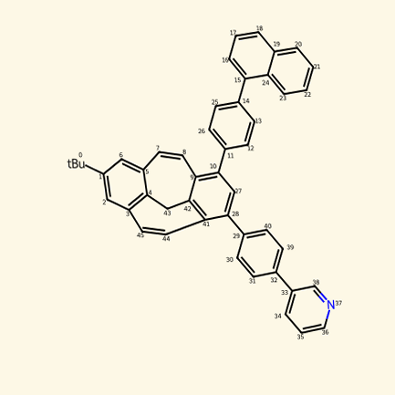 CC(C)(C)c1cc2c3c(c1)C=Cc1c(-c4ccc(-c5cccc6ccccc56)cc4)cc(-c4ccc(-c5cccnc5)cc4)c(c1C3)C=C2